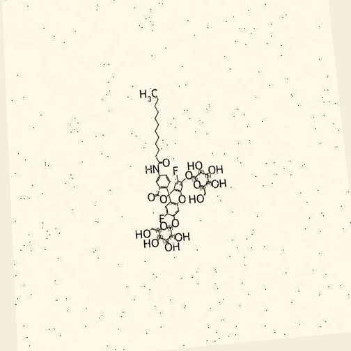 CCCCCCCCCCCC(=O)Nc1ccc2c(c1)C(=O)OC21c2cc(F)c(O[C@@H]3O[C@H](CO)[C@H](O)[C@H](O)[C@H]3O)cc2Oc2cc(O[C@@H]3O[C@H](CO)[C@H](O)[C@H](O)[C@H]3O)c(F)cc21